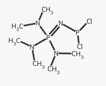 CN(C)P(=NP(Cl)Cl)(N(C)C)N(C)C